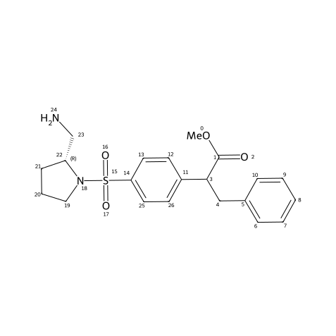 COC(=O)C(Cc1ccccc1)c1ccc(S(=O)(=O)N2CCC[C@@H]2CN)cc1